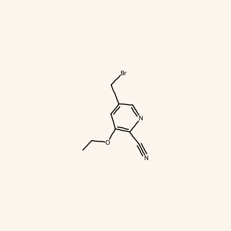 CCOc1cc(CBr)cnc1C#N